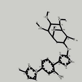 COC1C(OC)C2CC(Oc3nnc(-c4ccc(-n5ccc(C)n5)cc4O)s3)C(F)C(C1OC)N2C